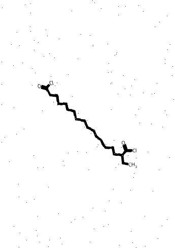 CCC(CCCCCCCCCCCCCCCC(=O)Cl)C(=O)Cl